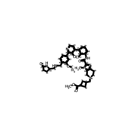 COC(=O)C1CC(CN2CCc3nc(C(=O)Nc4cccc(-c5ccnc(-c6ccc(CNCC7CCC(=O)N7)c(OC)c6)c5Cl)c4Cl)n(C)c3C2)C1